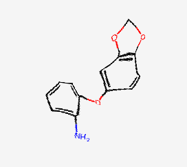 Nc1ccccc1Oc1ccc2c(c1)OCO2